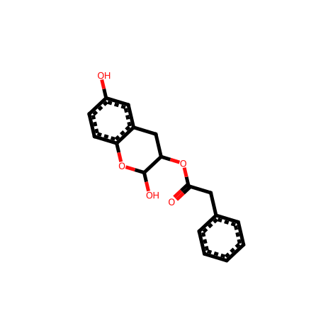 O=C(Cc1ccccc1)OC1Cc2cc(O)ccc2OC1O